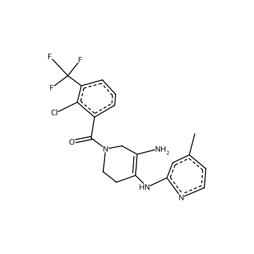 Cc1ccnc(NC2=C(N)CN(C(=O)c3cccc(C(F)(F)F)c3Cl)CC2)c1